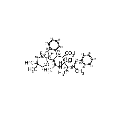 CC1=C(P2(=O)OCC(C)(C)CO2)C(c2ccccc2C(F)(F)F)C(C(=O)O)C(C)(C(C)N(C)Cc2ccccc2)N1